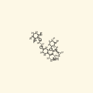 Cc1cccc(CN(C(=O)C2=C(c3ccc(OCCOc4c(F)ccc(C)c4F)cc3)CCNC2)C2CC2)c1C